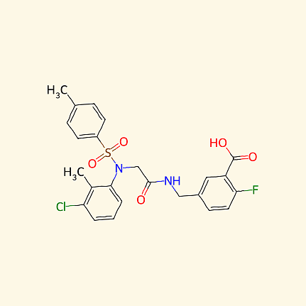 Cc1ccc(S(=O)(=O)N(CC(=O)NCc2ccc(F)c(C(=O)O)c2)c2cccc(Cl)c2C)cc1